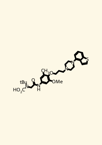 COc1cc(NC(=O)CN(C(=O)O)C(C)(C)C)cc(C)c1OCCCN1CCN(c2cccc3sccc23)CC1